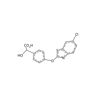 O=C(O)C(O)c1ccc(Oc2nc3ccc(Cl)cc3s2)cc1